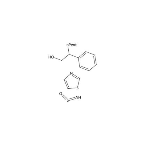 CCCCCC(CO)c1ccccc1.N=S=O.c1cscn1